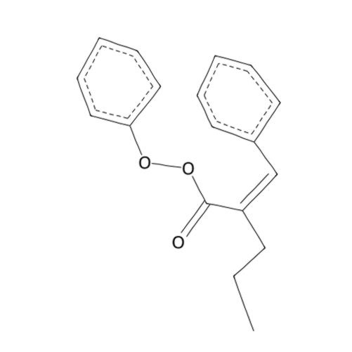 CCCC(=Cc1ccccc1)C(=O)OOc1ccccc1